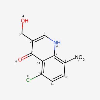 O=c1c(CO)c[nH]c2c([N+](=O)[O-])ccc(Cl)c12